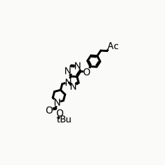 CC(=O)CCc1ccc(Oc2ncnc3c2cnn3CC2CCN(C(=O)OC(C)(C)C)CC2)cc1